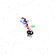 CC(C)C[C@H](N)C(=O)NCC(=O)OCOc1ccc([N+](=O)[O-])c2cccnc12.Cl